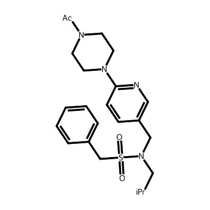 CC(=O)N1CCN(c2ccc(CN(CC(C)C)S(=O)(=O)Cc3ccccc3)cn2)CC1